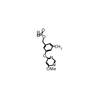 COc1cc(Oc2cc(C)cc(CO[PH](=O)O)c2)ncn1